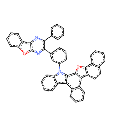 c1ccc(-c2nc3c(nc2-c2cccc(-n4c5ccccc5c5c6ccccc6c6c7ccc8ccccc8c7oc6c54)c2)oc2ccccc23)cc1